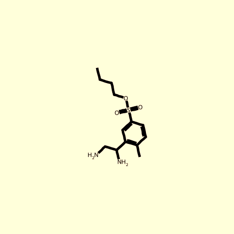 CCCCOS(=O)(=O)c1ccc(C)c(C(N)CN)c1